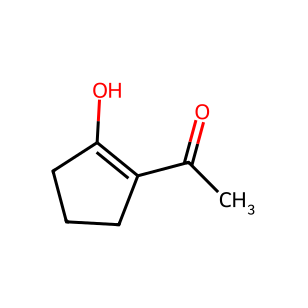 CC(=O)C1=C(O)CCC1